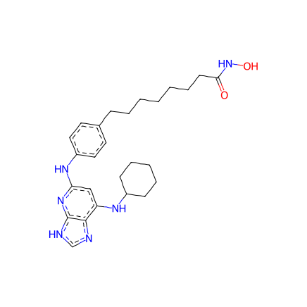 O=C(CCCCCCCc1ccc(Nc2cc(NC3CCCCC3)c3nc[nH]c3n2)cc1)NO